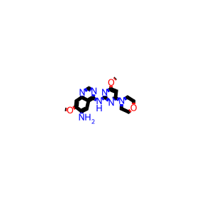 COc1cc(N2CCOCC2)nc(Nc2ncnc3cc(OC)c(N)cc23)n1